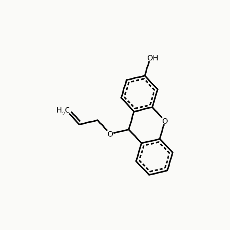 C=CCOC1c2ccccc2Oc2cc(O)ccc21